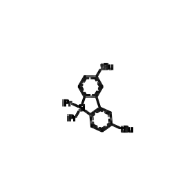 CC(C)[Si]1(C(C)C)c2ccc(C(C)(C)C)cc2-c2cc(C(C)(C)C)ccc21